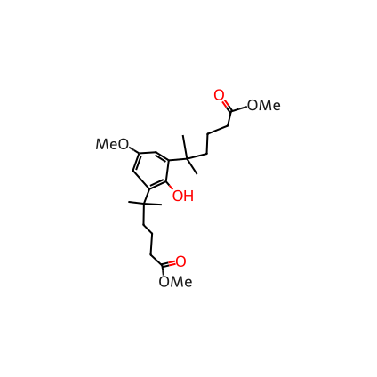 COC(=O)CCCC(C)(C)c1cc(OC)cc(C(C)(C)CCCC(=O)OC)c1O